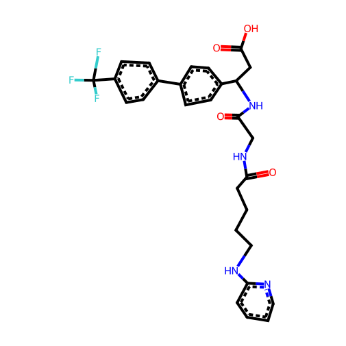 O=C(O)CC(NC(=O)CNC(=O)CCCCNc1ccccn1)c1ccc(-c2ccc(C(F)(F)F)cc2)cc1